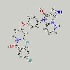 O=C(c1ccc(F)cc1F)N1CCC(Oc2ccc(N(C(=O)C3CNC3)c3cccnn3)cc2)CC1